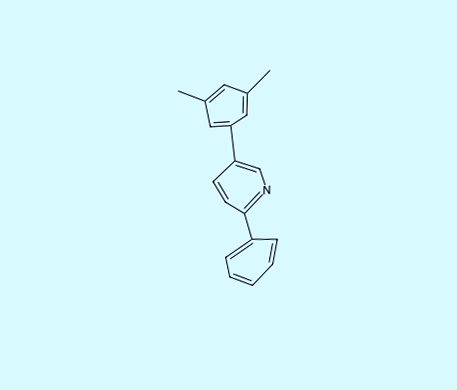 Cc1cc(C)cc(-c2ccc(-c3ccccc3)nc2)c1